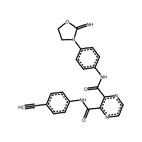 C#Cc1ccc(NC(=O)c2nccnc2C(=O)Nc2ccc(N3CCOC3=N)cc2)cc1